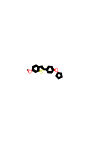 COc1ccc2cc(-c3ccc(OC4CCCC4)cc3)sc2c1